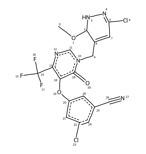 COC1NN=C(Cl)C=C1Cn1cnc(C(F)(F)F)c(Oc2cc(Cl)cc(C#N)c2)c1=O